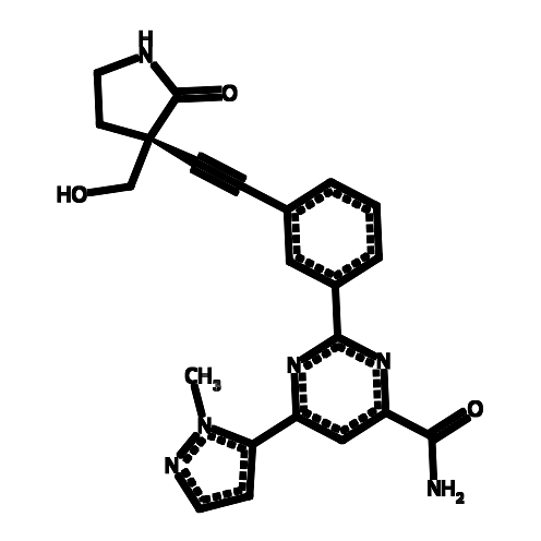 Cn1nccc1-c1cc(C(N)=O)nc(-c2cccc(C#C[C@@]3(CO)CCNC3=O)c2)n1